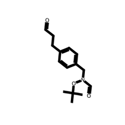 CC(C)(C)ON(C=O)Cc1ccc(CCC=O)cc1